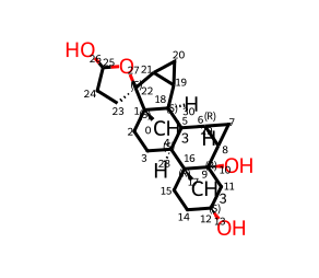 C[C@]12CC[C@H]3C([C@H]4CC4[C@]4(O)C[C@@H](O)CC[C@]34C)[C@@H]1C1CC1[C@@]21CCC(O)O1